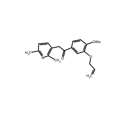 C=CCOc1cc(C(=O)Cc2ccc(C)nc2C)ccc1OC